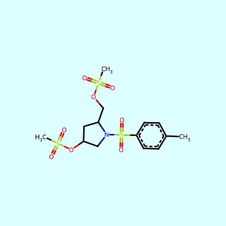 Cc1ccc(S(=O)(=O)N2CC(OS(C)(=O)=O)CC2COS(C)(=O)=O)cc1